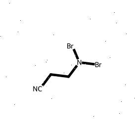 N#CCCN(Br)Br